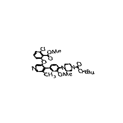 COC(=O)c1c(Cl)cccc1Oc1cncc(C)c1-c1ccc(N2CCN(C(=O)OC(C)(C)C)CC2)c(OC)c1